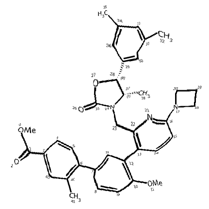 COC(=O)c1ccc(-c2ccc(OC)c(-c3ccc(N4CCC4)nc3CN3C(=O)O[C@H](c4cc(C)cc(C)c4)[C@@H]3C)c2)c(C)c1